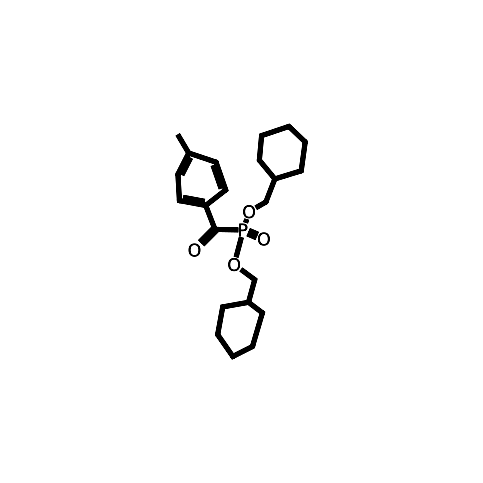 Cc1ccc(C(=O)P(=O)(OCC2CCCCC2)OCC2CCCCC2)cc1